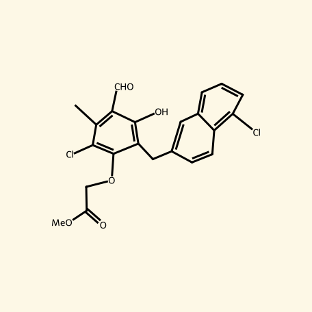 COC(=O)COc1c(Cl)c(C)c(C=O)c(O)c1Cc1ccc2c(Cl)cccc2c1